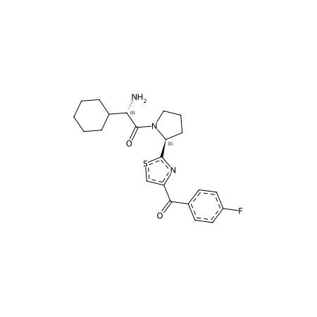 N[C@H](C(=O)N1CCC[C@H]1c1nc(C(=O)c2ccc(F)cc2)cs1)C1CCCCC1